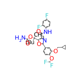 CC(C)(C)C(C)(OC(N)=O)c1oc(-c2ccc(OC(F)F)c(OCC3CC3)c2)nc1C(=O)Nc1ccc(F)cc1F